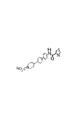 O=C(Nc1ccc(N2CCC(C3CCN(C(=O)O)CC3)CC2)cc1)c1cscn1